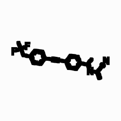 C=C(C#N)/N=C(\C)c1ccc(C#Cc2ccc(CC(C)(F)F)cc2)cc1